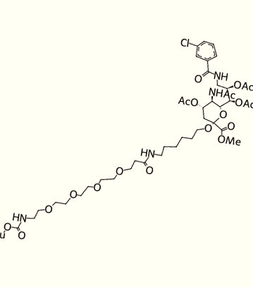 COC(=O)[C@@]1(OCCCCCCNC(=O)CCOCCOCCOCCOCCNC(=O)OC(C)(C)C)C[C@H](OC(C)=O)[C@@H](NC(C)=O)[C@H]([C@H](OC(C)=O)[C@@H](CNC(=O)c2cccc(Cl)c2)OC(C)=O)O1